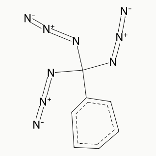 [N-]=[N+]=NC(N=[N+]=[N-])(N=[N+]=[N-])c1ccccc1